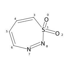 O=S1(=O)C=CC=CN=N1